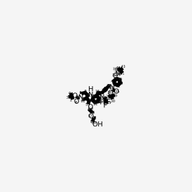 CC(C)(C)OC(=O)N1CCC(Nc2cccc3c2cc(C#CCN(C(=O)OC(C)(C)C)c2cccc(O[Si](C)(C)C(C)(C)C)c2)n3CC(F)(F)F)C(CCOCCOCCO)C1